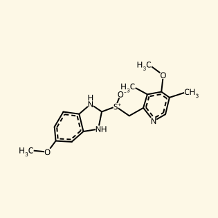 COc1ccc2c(c1)NC([S+]([O-])Cc1ncc(C)c(OC)c1C)N2